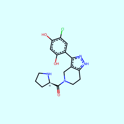 O=C([C@H]1CCCN1)N1CCc2[nH]nc(-c3cc(Cl)c(O)cc3O)c2C1